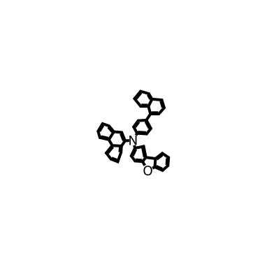 c1ccc2c(-c3ccc(N(c4ccc5oc6ccccc6c5c4)c4cc5ccccc5c5ccccc45)cc3)cccc2c1